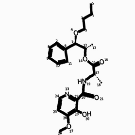 CCCCO[C@H](c1ccccc1)[C@H](C)OC(=O)[C@H](C)NC(=O)c1nccc(OC)c1O